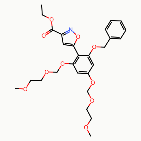 CCOC(=O)c1cc(-c2c(OCOCCOC)cc(OCOCCOC)cc2OCc2ccccc2)on1